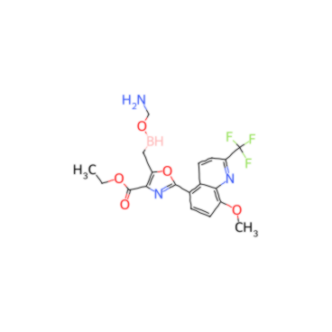 CCOC(=O)c1nc(-c2ccc(OC)c3nc(C(F)(F)F)ccc23)oc1CBOCN